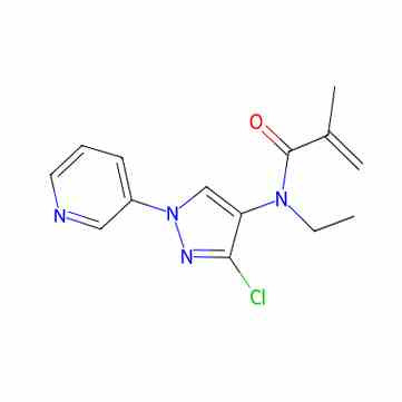 C=C(C)C(=O)N(CC)c1cn(-c2cccnc2)nc1Cl